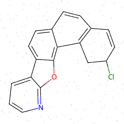 ClC1C=Cc2ccc3ccc4c5cccnc5oc4c3c2C1